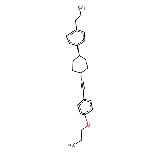 CCCOc1ccc(C#C[C@H]2CC[C@H](c3ccc(CCC)cc3)CC2)cc1